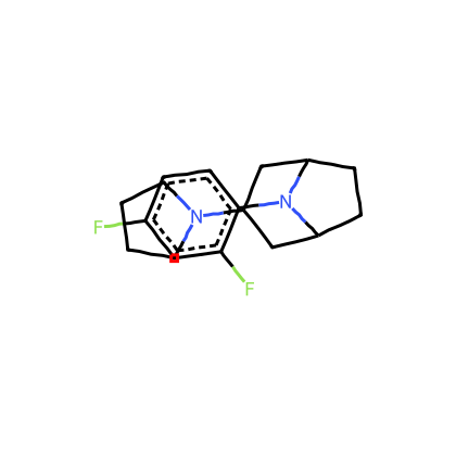 Fc1ccc(N2C3CCC2CC(N2CCCC2)C3)c(F)c1